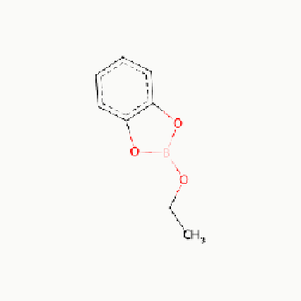 CCOB1Oc2ccccc2O1